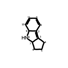 C1=CC2=C3CCCC3NC2C=C1